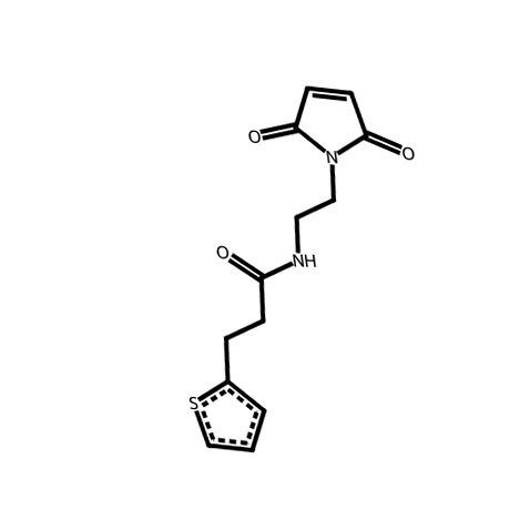 O=C(CCc1cccs1)NCCN1C(=O)C=CC1=O